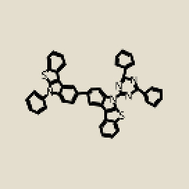 c1ccc(-c2nc(-c3ccccc3)nc(-n3c4ccc(-c5ccc6c(c5)c5c7ccccc7sc5n6-c5ccccc5)cc4c4c5ccccc5sc43)n2)cc1